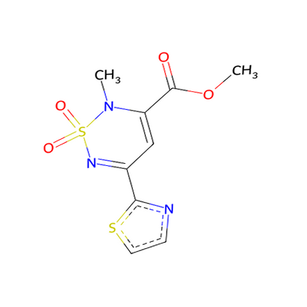 COC(=O)C1=CC(c2nccs2)=NS(=O)(=O)N1C